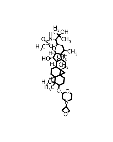 C[C@@H]1C[C@H]([C@H](NS(C)(=O)=O)C(C)(C)O)O[C@H]2[C@H]1[C@@]1(C)CC[C@@]34CC35CCC(O[C@H]3CN(C6COC6)CCO3)C(C)(C)[C@@H]5CC[C@H]4[C@]1(C)[C@H]2O